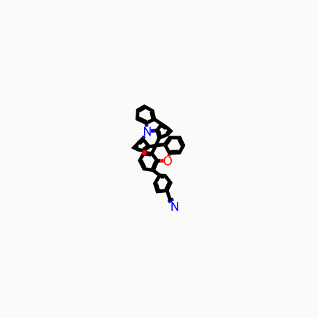 N#Cc1ccc(-c2cccc3c2Oc2ccccc2C32c3ccccc3-n3c4ccccc4c4cccc2c43)cc1